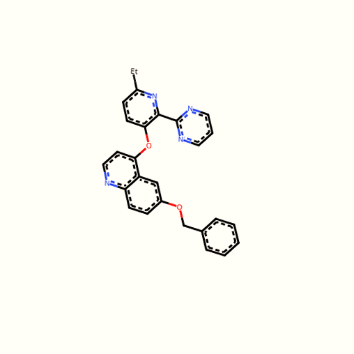 CCc1ccc(Oc2ccnc3ccc(OCc4ccccc4)cc23)c(-c2ncccn2)n1